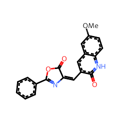 COc1ccc2[nH]c(=O)c(C=C3N=C(c4ccccc4)OC3=O)cc2c1